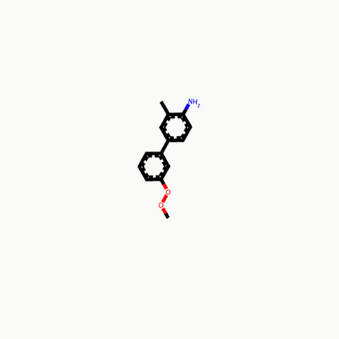 COOc1cccc(-c2ccc(N)c(C)c2)c1